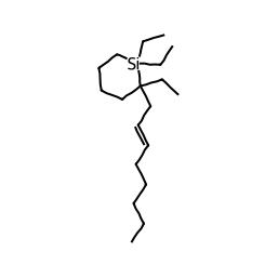 CCCCCC=CCC1(CC)CCCC[Si]1(CC)CC